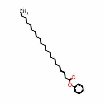 CCCCCCCCCCCCCCCCCC=CCC(=O)Oc1ccccc1